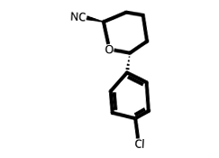 N#C[C@H]1CCC[C@H](c2ccc(Cl)cc2)O1